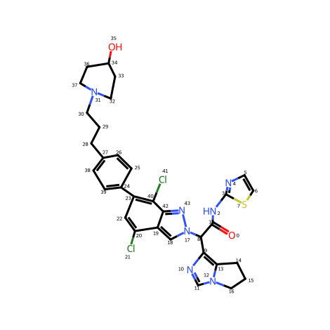 O=C(Nc1nccs1)C(c1ncn2c1CCC2)n1cc2c(Cl)cc(-c3ccc(CCCN4CCC(O)CC4)cc3)c(Cl)c2n1